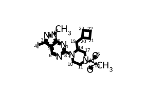 Cn1nc(I)c2cnc(N3CCN(S(C)(=O)=O)CC3CC3CCC3)nc21